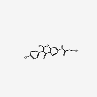 CC(C)CCC(=O)Nc1ccc2c(=O)c(-c3ccc(Cl)cc3)c(C(C)C)oc2c1